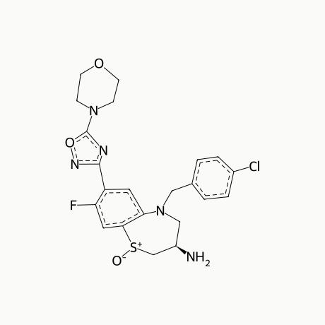 N[C@@H]1CN(Cc2ccc(Cl)cc2)c2cc(-c3noc(N4CCOCC4)n3)c(F)cc2[S+]([O-])C1